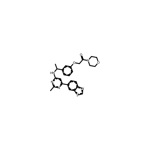 Cc1nc(NC(C)c2cccc(OCC(=O)N3CCOCC3)c2)cc(-c2ccc3ncsc3c2)n1